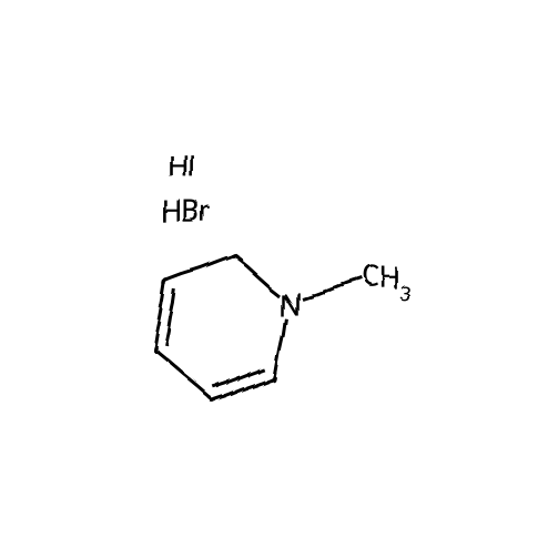 Br.CN1C=CC=CC1.I